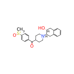 C[S+]([O-])c1ccc(C(=O)C2CCN([C@@H]3Cc4ccccc4C[C@H]3O)CC2)cc1